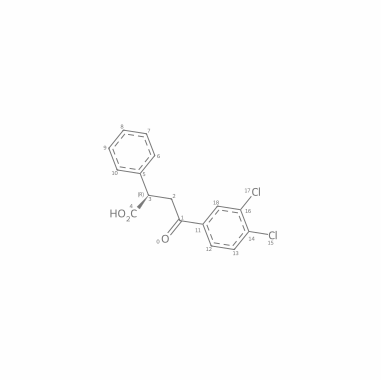 O=C(C[C@@H](C(=O)O)c1ccccc1)c1ccc(Cl)c(Cl)c1